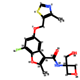 Cc1ncsc1COc1cc(F)c2oc(C)c(C(=O)NC3(CO)COC3)c2c1